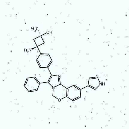 C[C@]1(O)C[C@](N)(c2ccc(-c3nc4n(c3-c3ccccc3)COc3ccc(-c5cn[nH]c5)cc3-4)cc2)C1